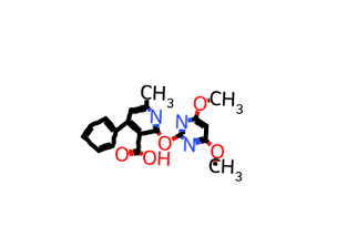 COc1cc(OC)nc(Oc2nc(C)cc(-c3ccccc3)c2C(=O)O)n1